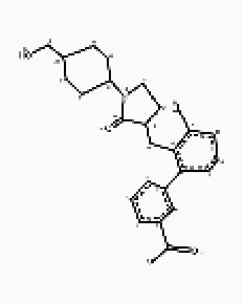 CC(=O)c1cccc(-c2cccc(Cl)c2CC2CCN(C3CCC(CO)CC3)C2=O)c1